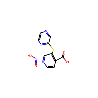 O=C(O)c1ccncc1Sc1cnccn1.O=NO